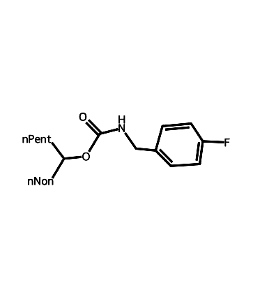 CCCCCCCCCC(CCCCC)OC(=O)NCc1ccc(F)cc1